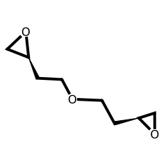 C(C[C@H]1CO1)OCC[C@H]1CO1